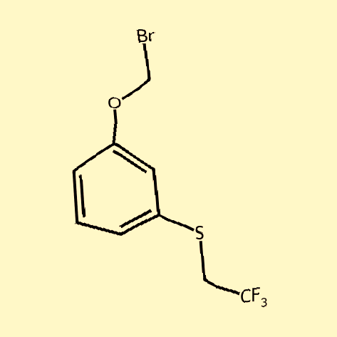 FC(F)(F)CSc1cccc(OCBr)c1